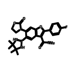 CNC(=O)c1c(-c2ccc(F)cc2)oc2cc(N3CCOC3=O)c(B3NC(C)(C)C(C)(C)N3)cc12